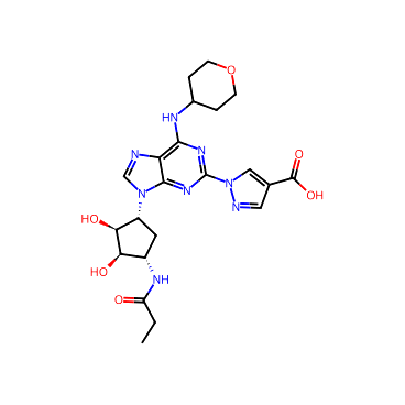 CCC(=O)N[C@H]1C[C@@H](n2cnc3c(NC4CCOCC4)nc(-n4cc(C(=O)O)cn4)nc32)[C@H](O)[C@@H]1O